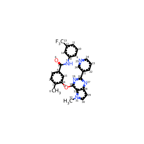 Cc1ccc(C(=O)Nc2cccc(C(F)(F)F)c2)cc1Oc1nc(-c2cccnc2)nc2ccn(C)c12